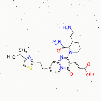 CC(C)c1csc(CCc2ccn3c(=O)c(C=CC(=O)O)c(N4CCCC(CCN)C4C(N)=O)nc3c2)n1